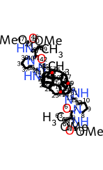 COC(=O)N[C@H](C(=O)N1CCC[C@H]1c1nc2cc(-c3cc4ccc3CCc3ccc(c(-c5ccc6[nH]c([C@@H]7CCCN7C(=O)[C@@H](NC(=O)OC)[C@@H](C)OC)nc6c5)c3)C[C@H]4C)ccc2[nH]1)[C@@H](C)OC